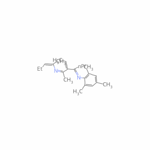 C/C=C(C(\C)=N/C(C)=C\CC)/C(CCC)=N/c1c(C)cc(C)cc1C